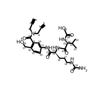 C#CCN(CC#C)C(=O)c1cc(NC(=O)[C@H](CCCNC(N)=O)NC(=O)[C@@H](NC(=O)O)C(C)C)ccc1CO